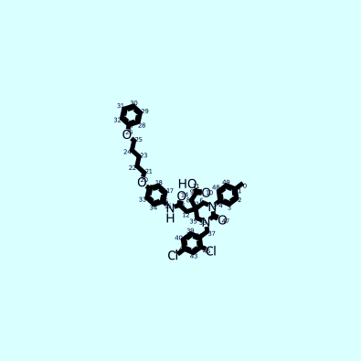 Cc1ccc(N2CC(CC(=O)O)(CC(=O)Nc3ccc(OCCCCCOc4ccccc4)cc3)CN(Cc3ccc(Cl)cc3Cl)C2=O)cc1